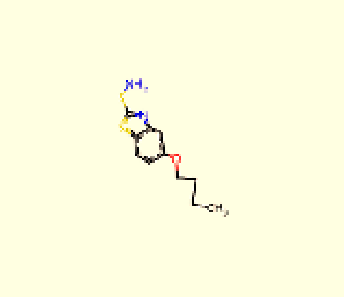 CCCCOc1ccc2sc(SN)nc2c1